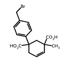 CC1(C(=O)O)C=CCC(C(=O)O)(c2ccc(CBr)cc2)C1